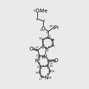 COCCOC(c1ccc2c(c1)C(=O)c1nc3ccncc3c(=O)n1-2)C(C)C